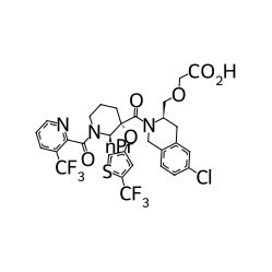 CCC[C@H]1N(C(=O)c2ncccc2C(F)(F)F)CCC[C@@]1(Oc1csc(C(F)(F)F)c1)C(=O)N1Cc2ccc(Cl)cc2C[C@@H]1COCC(=O)O